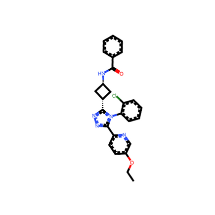 CCOc1ccc(-c2nnc([C@H]3C[C@H](NC(=O)c4ccccc4)C3)n2-c2ccccc2Cl)nc1